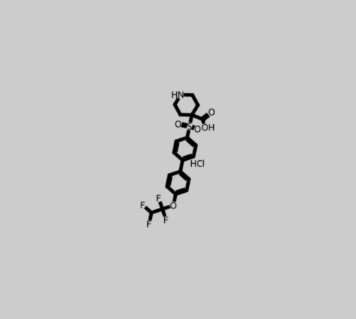 Cl.O=C(O)C1(S(=O)(=O)c2ccc(-c3ccc(OC(F)(F)C(F)F)cc3)cc2)CCNCC1